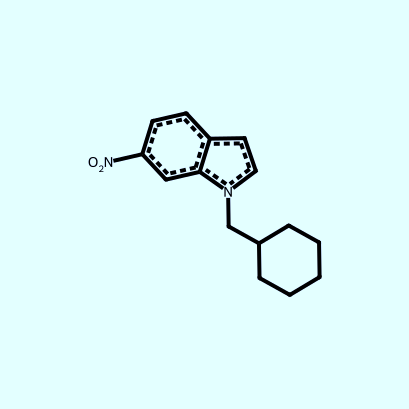 O=[N+]([O-])c1ccc2ccn(CC3CCCCC3)c2c1